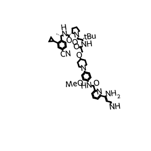 COc1cc(N2CCC(OCC(=O)N[C@H](C(=O)N3CCC[C@H]3C(=O)N[C@@H](C)c3ccc(C#N)cc3C3CC3)C(C)(C)C)CC2)ccc1NC(=O)c1cccc(/C(N)=C/C=N)n1